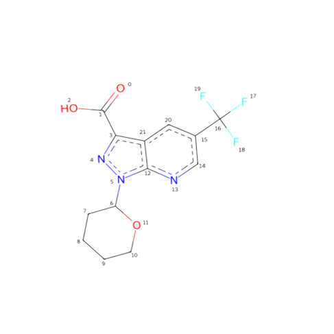 O=C(O)c1nn(C2CCCCO2)c2ncc(C(F)(F)F)cc12